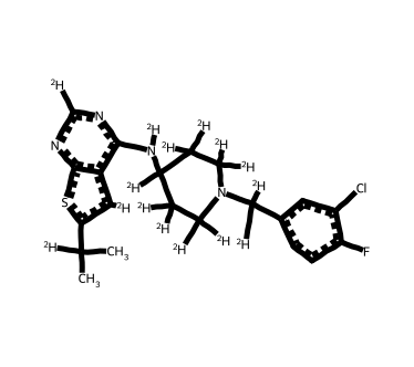 [2H]c1nc(N([2H])C2([2H])C([2H])([2H])C([2H])([2H])N(C([2H])([2H])c3ccc(F)c(Cl)c3)C([2H])([2H])C2([2H])[2H])c2c([2H])c(C([2H])(C)C)sc2n1